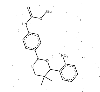 CC(C)(C)OC(=O)Nc1ccc(B2OCC(C)(C)C(c3ccccc3[N+](=O)[O-])O2)cc1